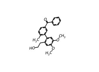 COc1cc(CCO)c(-c2cc(C(=O)c3ccccc3)ccc2C)cc1OC